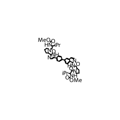 COC(=O)NC(C(=O)N1CCCC1C(=O)Nc1nccc2cc(-c3ccc(-c4cnc(C5CCCN5C(=O)C(NC(=O)OC)C(C)C)[nH]4)cc3)ccc12)C(C)C